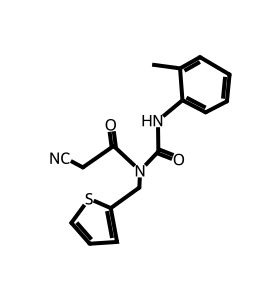 Cc1ccccc1NC(=O)N(Cc1cccs1)C(=O)CC#N